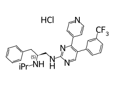 CC(C)N[C@H](CNc1ncc(-c2cccc(C(F)(F)F)c2)c(-c2ccncc2)n1)Cc1ccccc1.Cl